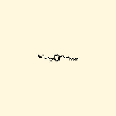 C=COCCOc1ccc(CCCCCCCCCCCC)cc1